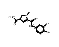 CN1CC(C(=O)C=O)C=C1C(=O)Nc1ccc(F)c(F)c1